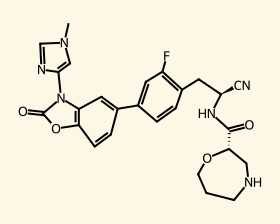 Cn1cnc(-n2c(=O)oc3ccc(-c4ccc(C[C@@H](C#N)NC(=O)[C@@H]5CNCCCO5)c(F)c4)cc32)c1